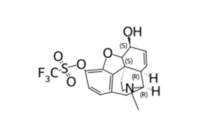 CN1CC[C@]23c4c5ccc(OS(=O)(=O)C(F)(F)F)c4OC2[C@@H](O)C=C[C@H]3[C@H]1C5